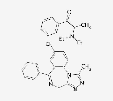 CCN(CC)C(C)C(=O)c1ccccc1.Cc1nnc2n1-c1ccc(Cl)cc1C(c1ccccc1)=NC2